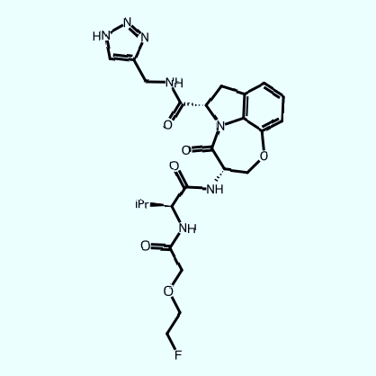 CC(C)[C@H](NC(=O)COCCF)C(=O)N[C@H]1COc2cccc3c2N(C1=O)[C@H](C(=O)NCc1c[nH]nn1)C3